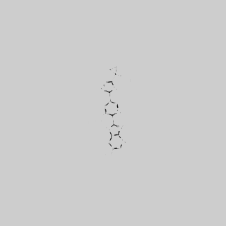 CCS(=O)(=O)c1cc(-c2noc(C3(C(F)(F)F)CC3)n2)cnc1-c1nc2cc(C(C)=O)cnc2n1C